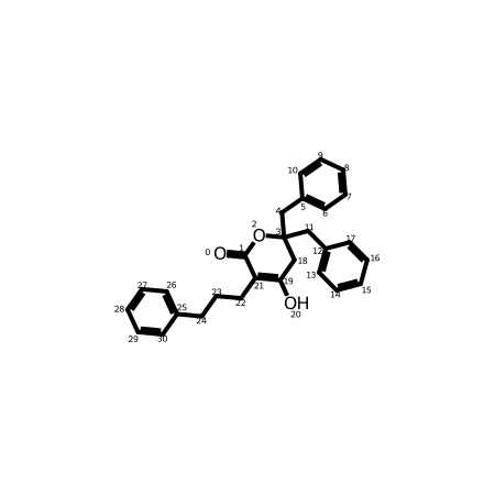 O=C1OC(Cc2ccccc2)(Cc2ccccc2)CC(O)=C1CCCc1ccccc1